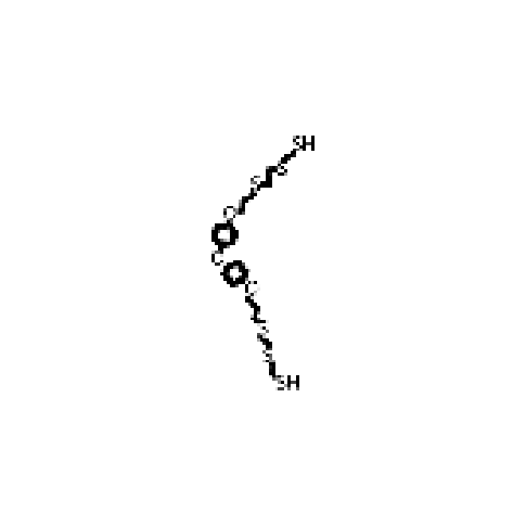 SCCSCCSCCCOc1ccc(Oc2ccc(OCCCSCCSCCS)cc2)cc1